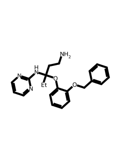 CCC(CCN)(Nc1ncccn1)Oc1ccccc1OCc1ccccc1